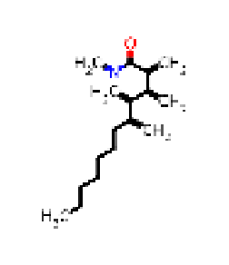 C=NC(=O)C(=C)C(=C)C(=C)C(=C)CCCCCCC